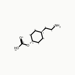 NCC[C@H]1CC[C@H](OC(=O)O)CC1